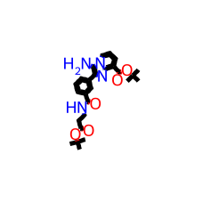 CC(C)(C)OC(=O)CCNC(=O)c1cccc(-c2nc3c(C(=O)OC(C)(C)C)cccn3c2N)c1